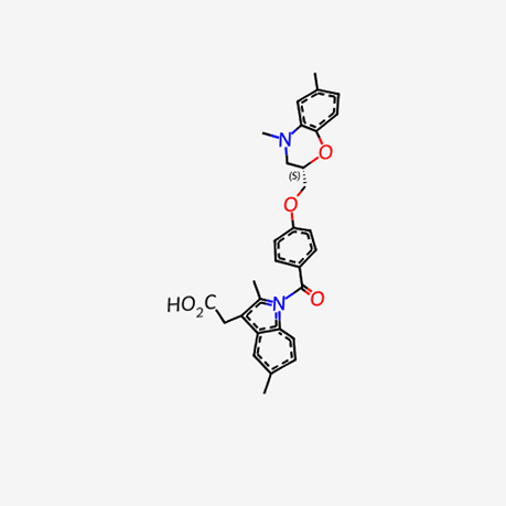 Cc1ccc2c(c1)N(C)C[C@@H](COc1ccc(C(=O)n3c(C)c(CC(=O)O)c4cc(C)ccc43)cc1)O2